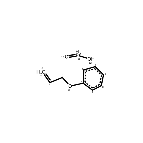 C=CCOc1ccccc1.O=[PH2]O